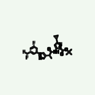 CC(C(=O)Nc1cc(C2CC2)nn1C(=O)OC(C)(C)C)c1cnn(-c2cc(F)cc(C(F)F)c2)c1